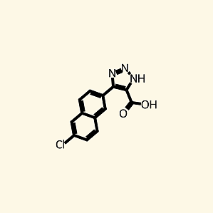 O=C(O)c1[nH]nnc1-c1ccc2cc(Cl)ccc2c1